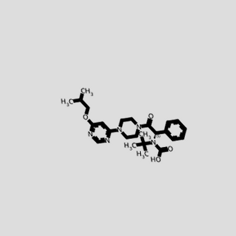 CC(C)COc1cc(N2CCN(C(=O)[C@H](c3ccccc3)N(C(=O)O)C(C)(C)C)CC2)ncn1